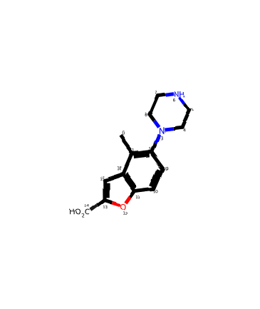 Cc1c(N2CCNCC2)ccc2oc(C(=O)O)cc12